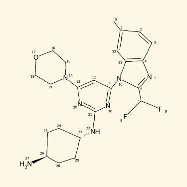 Cc1ccc2nc(C(F)F)n(-c3cc(N4CCOCC4)nc(N[C@H]4CC[C@H](N)CC4)n3)c2c1